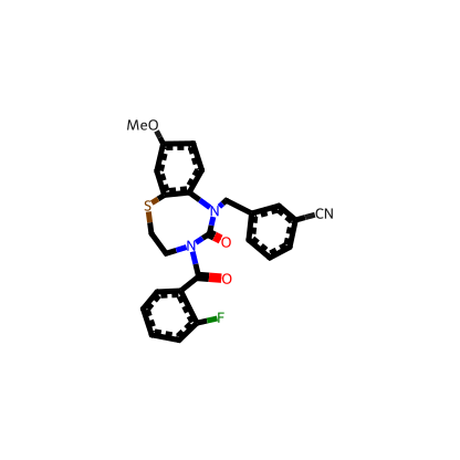 COc1ccc2c(c1)SCCN(C(=O)c1ccccc1F)C(=O)N2Cc1cccc(C#N)c1